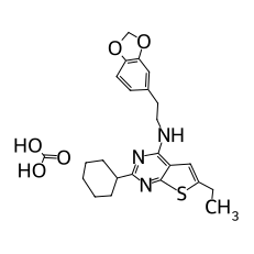 CCc1cc2c(NCCc3ccc4c(c3)OCO4)nc(C3CCCCC3)nc2s1.O=C(O)O